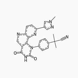 Cn1cc(-c2ccc3ncc4c(=O)[nH]c(=O)n(-c5ccc(C(C)(C)C#N)cc5)c4c3n2)cn1